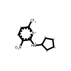 O=[N+]([O-])c1ccc(C(F)(F)F)nc1NC1CCCC1